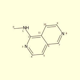 CNc1nccc2cnccc12